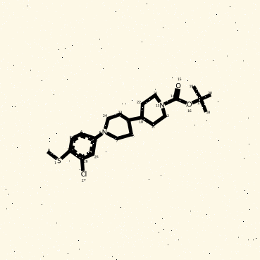 CSc1ccc(N2CCC(C3CCN(C(=O)OC(C)(C)C)CC3)CC2)cc1Cl